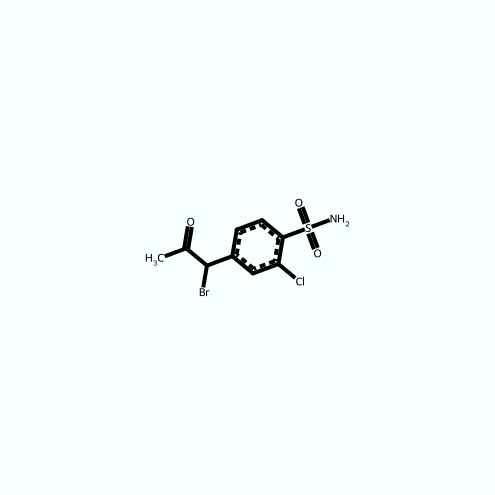 CC(=O)C(Br)c1ccc(S(N)(=O)=O)c(Cl)c1